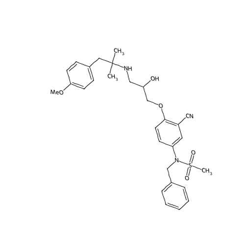 COc1ccc(CC(C)(C)NCC(O)COc2ccc(N(Cc3ccccc3)S(C)(=O)=O)cc2C#N)cc1